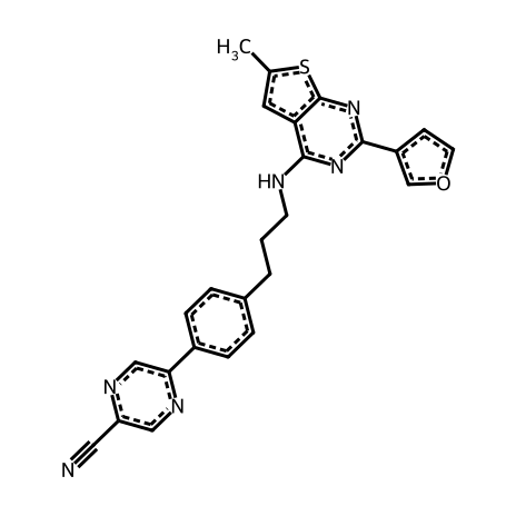 Cc1cc2c(NCCCc3ccc(-c4cnc(C#N)cn4)cc3)nc(-c3ccoc3)nc2s1